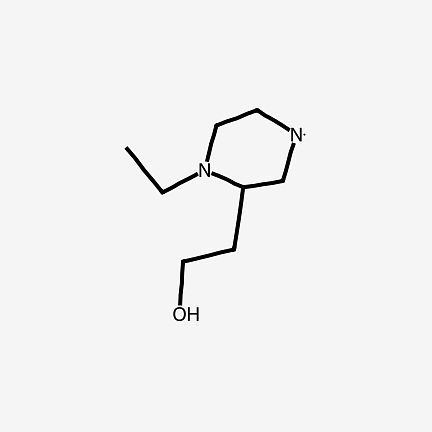 CCN1CC[N]CC1CCO